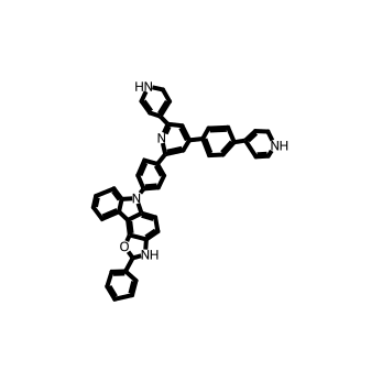 C1=CC(c2ccc(-c3cc(C4=CCNC=C4)nc(-c4ccc(-n5c6ccccc6c6c7c(ccc65)NC(c5ccccc5)O7)cc4)c3)cc2)=CCN1